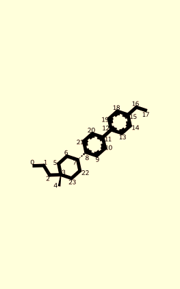 CCC[C@]1(C)CC[C@H](c2ccc(-c3ccc(CC)cc3)cc2)CC1